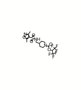 Cc1noc(C)c1S(=O)(=O)NCC1CCN(C(=O)OC(C(F)(F)F)C(F)(F)F)CC1